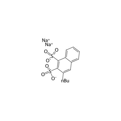 CCCCc1cc2ccccc2c(S(=O)(=O)[O-])c1S(=O)(=O)[O-].[Na+].[Na+]